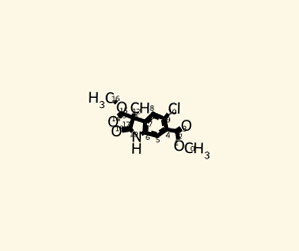 COC(=O)c1cc2c(cc1Cl)C(C)(C(=O)OC)C(=O)N2